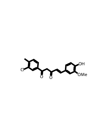 COc1cc(/C=C/C(=O)CC(=O)c2ccc(C)c(Cl)c2)ccc1O